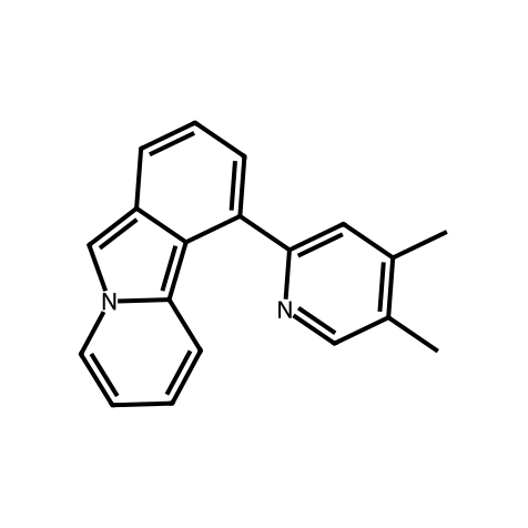 Cc1cnc(-c2cccc3cn4ccccc4c23)cc1C